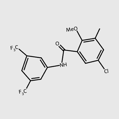 COc1c(C)cc(Cl)cc1C(=O)Nc1cc(C(F)(F)F)cc(C(F)(F)F)c1